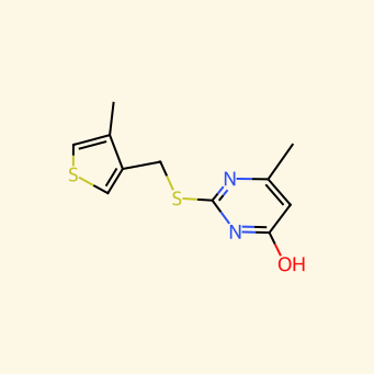 Cc1cc(O)nc(SCc2cscc2C)n1